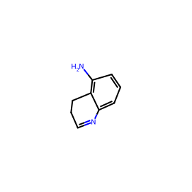 Nc1cccc2c1CCC=N2